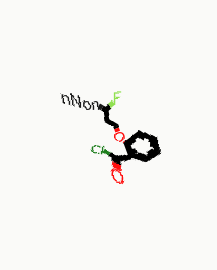 CCCCCCCCCC(F)CCOc1ccccc1C(=O)Cl